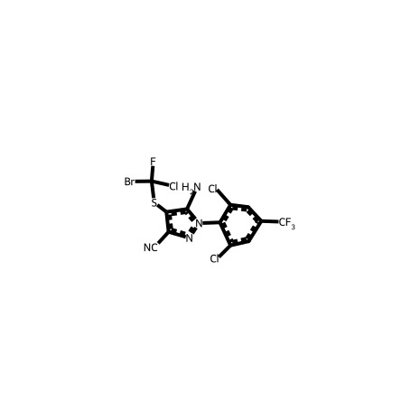 N#Cc1nn(-c2c(Cl)cc(C(F)(F)F)cc2Cl)c(N)c1SC(F)(Cl)Br